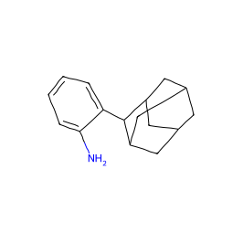 Nc1ccccc1C1C2CC3CC(C2)CC1C3